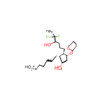 CCCC(F)(F)C(O)CCC[C@@H]1[C@@H](CC=CCCCC(=O)O)[C@@H](O)C[C@H]1OC1CCCCO1